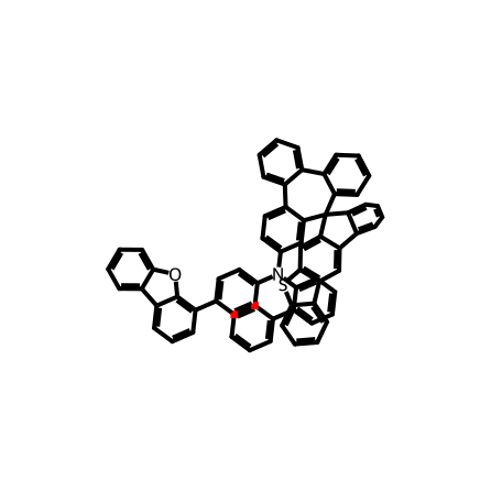 c1ccc(-c2ccccc2N(c2ccc(-c3cccc4c3oc3ccccc34)cc2)c2ccc3c(c2)C2(c4ccccc4-c4ccccc4-3)c3ccccc3-c3cc4c(cc32)sc2ccccc24)cc1